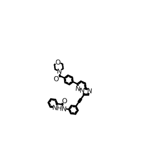 O=C(Nc1cccc(C#Cc2cnc3ccc(-c4ccc(C(=O)N5CCOCC5)cc4)nn23)c1)c1ccccn1